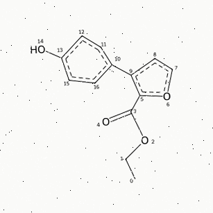 CCOC(=O)c1occc1-c1ccc(O)cc1